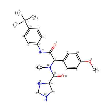 COc1ccc(C(C(=O)Nc2ccc([Si](C)(C)C)cc2)N(C)C(=O)C2CNCN2)cc1